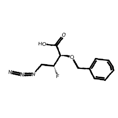 [N-]=[N+]=NC[C@@H](F)[C@H](OCc1ccccc1)C(=O)O